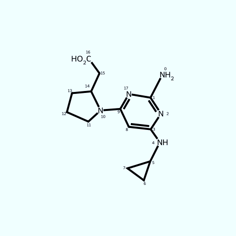 Nc1nc(NC2CC2)cc(N2CCCC2CC(=O)O)n1